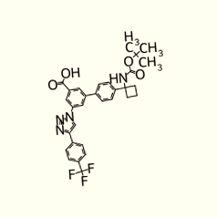 CC(C)(C)OC(=O)NC1(c2ccc(-c3cc(C(=O)O)cc(-n4cc(-c5ccc(C(F)(F)F)cc5)nn4)c3)cc2)CCC1